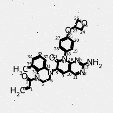 C=CC(=O)N1CCN(c2cc3cnc(N)nc3n(-c3ccc(OC4COC4)cc3)c2=O)c2cccc(C)c21